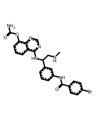 CNCC(Nc1ncnc2c(OC(N)=O)cccc12)c1cccc(NC(=O)c2ccc(Br)cc2)c1